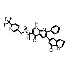 O=c1c(N[S+]([O-])Cc2ccc(C(F)(F)F)nc2)c[nH]c2nc(-c3ccccc3)c(-c3cc(Cl)c4ncccc4c3)cc12